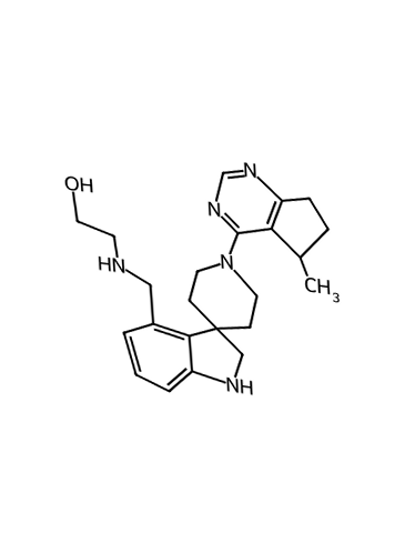 CC1CCc2ncnc(N3CCC4(CC3)CNc3cccc(CNCCO)c34)c21